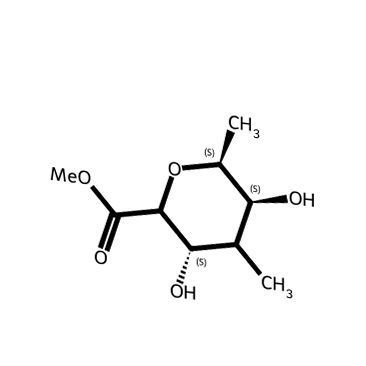 COC(=O)C1O[C@@H](C)[C@@H](O)C(C)[C@@H]1O